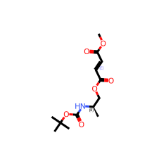 COC(=O)/C=C/C(=O)OC[C@@H](C)NC(=O)OC(C)(C)C